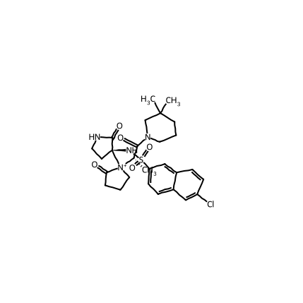 C[C@@H](C(=O)N1CCCC(C)(C)C1)[N+]1([C@]2(NS(=O)(=O)c3ccc4cc(Cl)ccc4c3)CCNC2=O)CCCC1=O